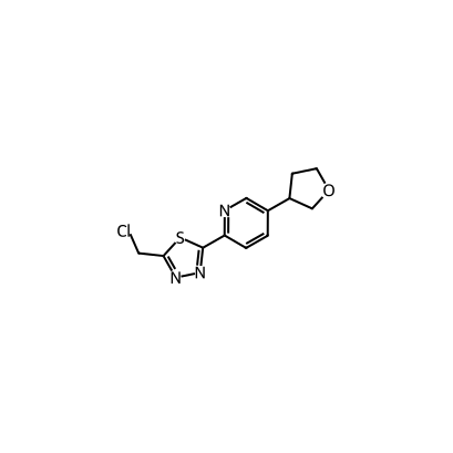 ClCc1nnc(-c2ccc(C3CCOC3)cn2)s1